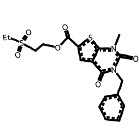 CCS(=O)(=O)CCOC(=O)c1cc2c(=O)n(Cc3ccccc3)c(=O)n(C)c2s1